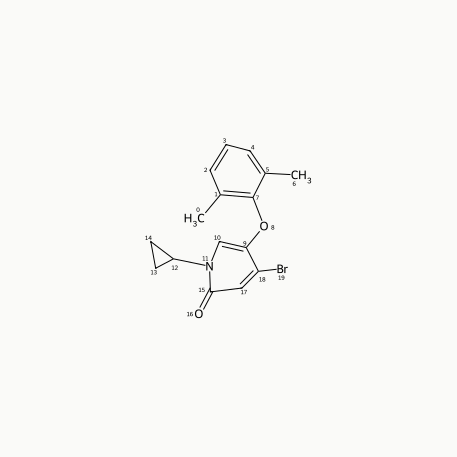 Cc1cccc(C)c1Oc1cn(C2CC2)c(=O)cc1Br